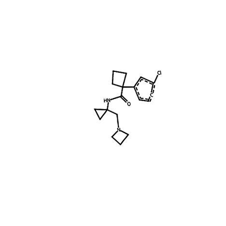 O=C(NC1(CN2CCC2)CC1)C1(c2cccc(Cl)c2)CCC1